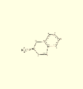 C=C1[C]=[C]c2ccccc2C1